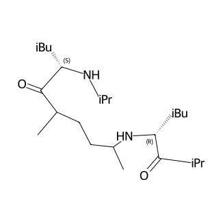 CCC(C)[C@H](NC(C)C)C(=O)C(C)CCC(C)N[C@@H](C(=O)C(C)C)C(C)CC